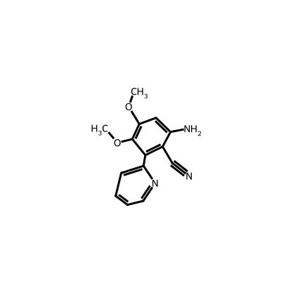 COc1cc(N)c(C#N)c(-c2ccccn2)c1OC